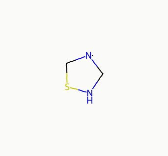 C1[N]CSN1